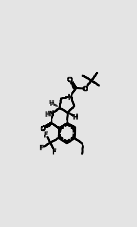 CCc1cc2c(c(C(F)(F)F)c1)C(=O)N[C@H]1CN(C(=O)OC(C)(C)C)C[C@H]21